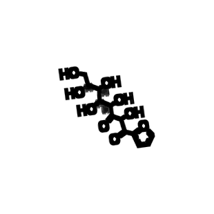 O=C(c1ccco1)C(O)C(=O)[C@H](O)[C@@H](O)[C@H](O)[C@H](O)CO